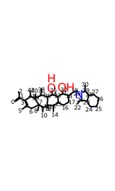 C=C(C)C1=C(C)CC2(C)C(C)C3(C)C(C)C4CCC(CN5C(C)C6CCCCC6C5C)C(O)C4C(O)C3C(C)C2(C)C1C